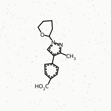 Cc1nn(C2CCCCO2)cc1-c1ccc(C(=O)O)cc1